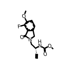 C#C[C@H](CN1Cc2ccc(OC)c(F)c2C1=O)NC(=O)OC